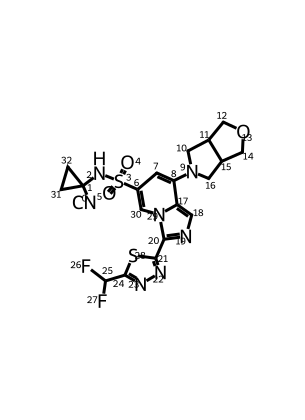 N#CC1(NS(=O)(=O)c2cc(N3CC4COCC4C3)c3cnc(-c4nnc(C(F)F)s4)n3c2)CC1